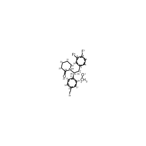 CO[C@@H](c1ccc(F)c(F)c1)[C@@H](c1ccc(F)cc1)N1CCCCC1=O